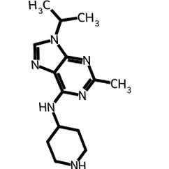 Cc1nc(NC2CCNCC2)c2ncn(C(C)C)c2n1